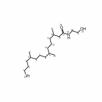 CC(C)CCCC(C)CCCC(C)CCCC(C)CC(=O)NCCO